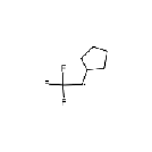 FC(F)(F)[CH]C1CCCC1